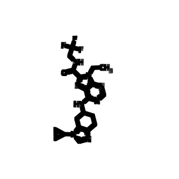 CCn1c(C(=O)NCC(F)(F)F)nc2c(NC3CCc4ncn(C5CC5)c4C3)ncnc21